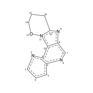 c1cnc2c(c1)ncc1nc3n(c12)OCCC3